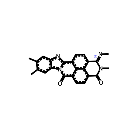 C/N=C1/c2ccc3c4c2c(ccc4c(=O)n2c4cc(C)c(C)cc4nc32)C(=O)N1C